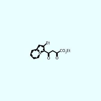 CCOC(=O)C(=O)CC(=O)c1c(CC)cc2ccccn12